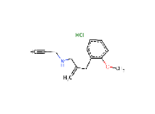 C#CCNCC(=C)Cc1ccccc1OC.Cl